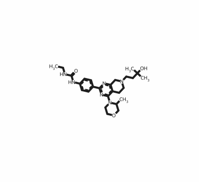 CCNC(=O)Nc1ccc(-c2nc3c(c(N4CCOCC4C)n2)CCN(CCC(C)(C)O)C3)cc1